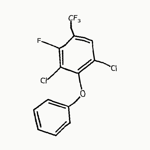 Fc1c(C(F)(F)F)cc(Cl)c(Oc2ccccc2)c1Cl